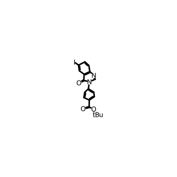 CC(C)(C)OC(=O)c1ccc(-n2cnc3ccc(I)cc3c2=O)cc1